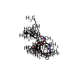 CCCCCCCCCCCCCCCC/C1=C\CCC(SCCOC2OC(CO)C(O)C(O)C2O)C(SCCC(C)(C)OCCC(C)(C)C(=O)O)C(SCCC(=O)N(C)[C@H](C)C(=O)O[C@@]2(O)CC(=O)N(C)c3cc(cc(OC)c3Cl)C/C(C)=C\C=C\CC3C[C@H](OC(=O)N3)[C@@H](C)[C@@H](C)C2)C(SCCOC2OC(CO)C(O)C(O)C2O)C(SCCC(C)(C)OCCC(C)(C)C(=O)O)CC1